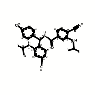 CC(C)Nc1cc(C(=O)NC(c2ccc(Cl)cc2)c2ccc(Cl)cc2NC(C)C)ccc1C#N